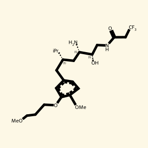 COCCCOc1cc(C[C@@H](C[C@H](N)[C@@H](O)CNC(=O)CC(F)(F)F)C(C)C)ccc1OC